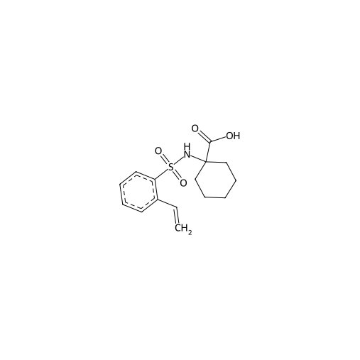 C=Cc1ccccc1S(=O)(=O)NC1(C(=O)O)CCCCC1